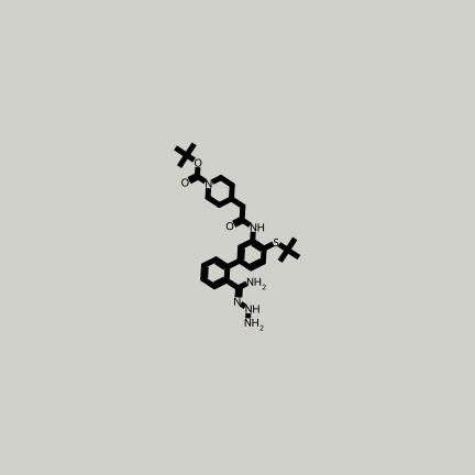 CC(C)(C)OC(=O)N1CCC(CC(=O)Nc2cc(-c3ccccc3/C(N)=N/NN)ccc2SC(C)(C)C)CC1